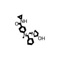 CN(c1ccc(C(=O)NC2CC2)cc1)[C@H](CN1CC[C@H](O)C1)c1ccccc1